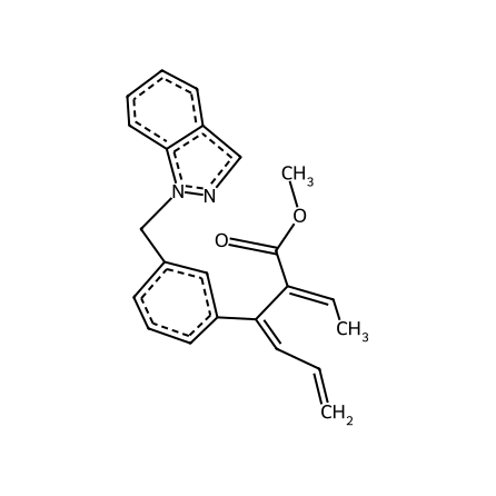 C=C/C=C(\C(=C/C)C(=O)OC)c1cccc(Cn2ncc3ccccc32)c1